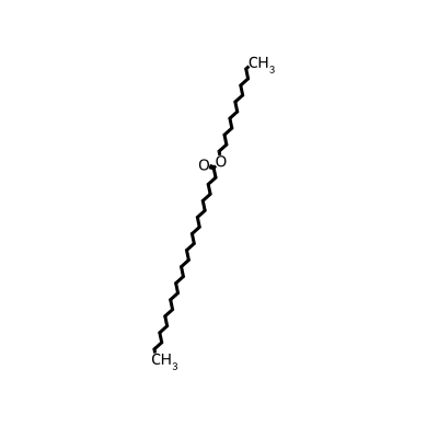 CCCCCCCCCCCCCCCCCCCCCCCC(=O)OCCCCCCCCCCCC